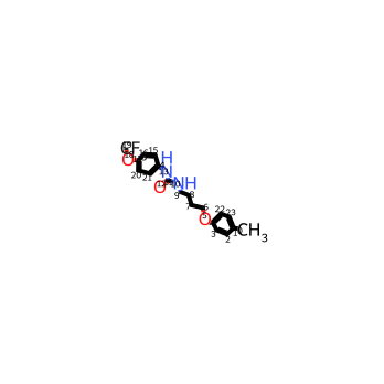 Cc1ccc(OCCCCNC(=O)Nc2ccc(OC(F)(F)F)cc2)cc1